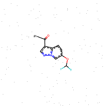 CC(C)C(=O)c1cnn2cc(OC(F)F)ccc12